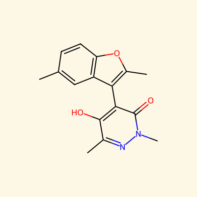 Cc1ccc2oc(C)c(-c3c(O)c(C)nn(C)c3=O)c2c1